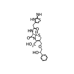 N=c1[nH]c(CC(=O)N[C@@H]2C(=O)N3C(C(=O)O)=C(COCC(O)c4ccccc4)CS[C@@H]23)cs1